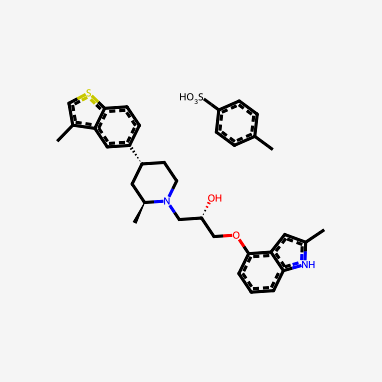 Cc1cc2c(OC[C@@H](O)CN3CC[C@@H](c4ccc5scc(C)c5c4)C[C@@H]3C)cccc2[nH]1.Cc1ccc(S(=O)(=O)O)cc1